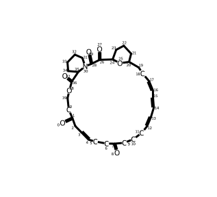 O=C1CC=CCCC(=O)CCCC=CC=CC=CCCC2CCCC(O2)C(=O)C(=O)N2CCCCC2C(=O)OCC1